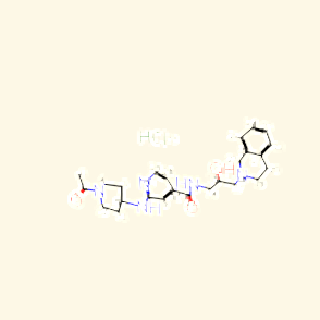 CC(=O)N1CCC(Nc2cc(C(=O)NCC(O)CN3CCc4ccccc4C3)ccn2)CC1.Cl